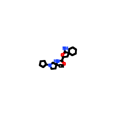 N#CC1(NC(=O)[CH]CC2(C(N)=O)CCCCC2)CCN(C2CCCC2)C1